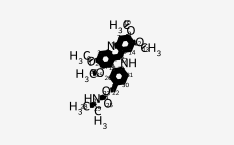 COc1cc2nc3cc(OC)c(OC)cc3c(Nc3ccc(COC(=O)NC(C)C)cc3)c2cc1OC